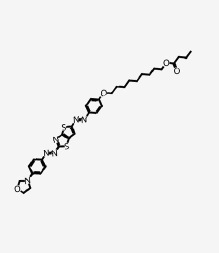 CCCC(=O)OCCCCCCCCCOc1ccc(N=Nc2cc3sc(N=Nc4ccc(N5CCOC5)cc4)nc3s2)cc1